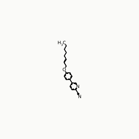 CCCCCC=CCOc1ccc(-c2ccc(C#N)nc2)cc1